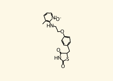 Cc1ccc[n+]([O-])c1NCCOc1ccc(CC2SC(=O)NC2=O)cc1